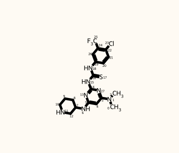 CN(C)c1cc(NC2CCCNC2)nc(NC(=S)Nc2ccc(Cl)c(C(F)(F)F)c2)n1